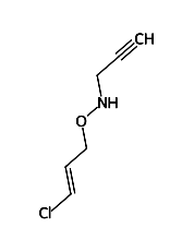 C#CCNOCC=CCl